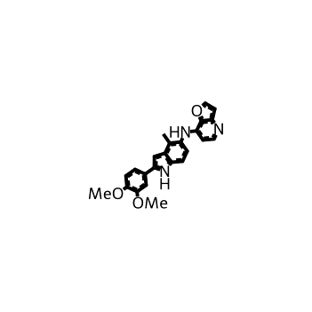 COc1ccc(-c2cc3c(C)c(Nc4ccnc5ccoc45)ccc3[nH]2)cc1OC